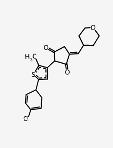 Cc1sc(C2C=CC(Cl)=CC2)cc1C1C(=O)C/C(=C\C2CCOCC2)C1=O